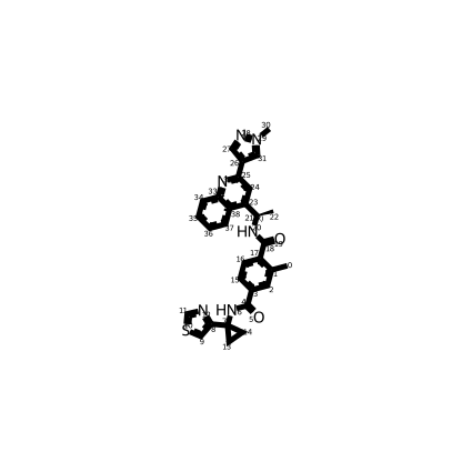 Cc1cc(C(=O)NC2(c3cscn3)CC2)ccc1C(=O)N[C@H](C)c1cc(-c2cnn(C)c2)nc2ccccc12